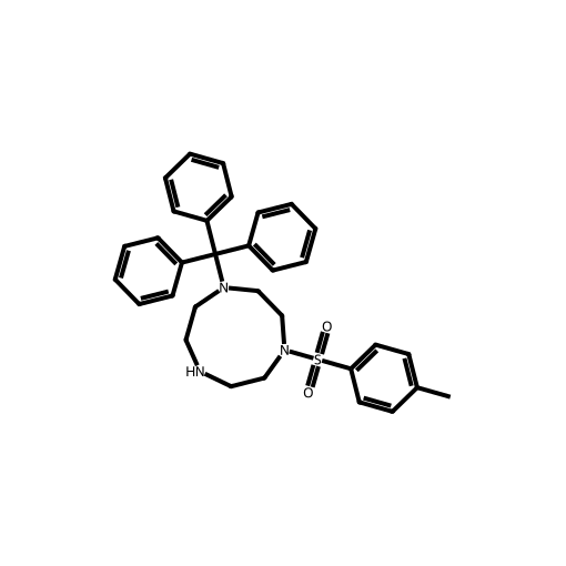 Cc1ccc(S(=O)(=O)N2CCNCCN(C(c3ccccc3)(c3ccccc3)c3ccccc3)CC2)cc1